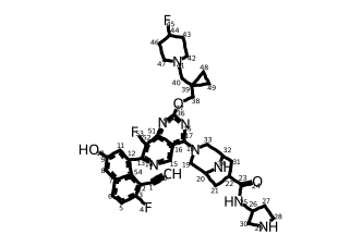 C#Cc1c(F)ccc2cc(O)cc(-c3ncc4c(N5CC6CC(C(=O)NC7CCNC7)CC(C5)N6)nc(OCC5(CN6CCC(F)CC6)CC5)nc4c3F)c12